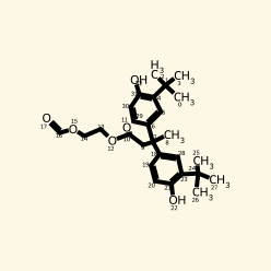 CC(C)(C)c1cc(C(C)(CC(=O)OCCOC=O)c2ccc(O)c(C(C)(C)C)c2)ccc1O